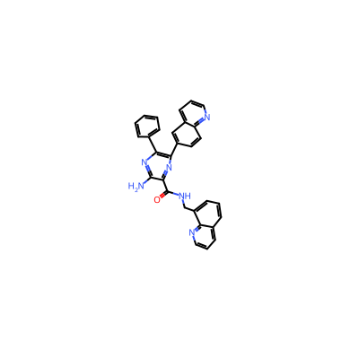 Nc1nc(-c2ccccc2)c(-c2ccc3ncccc3c2)nc1C(=O)NCc1cccc2cccnc12